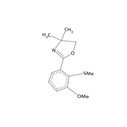 COc1cccc(C2=NC(C)(C)CO2)c1SC